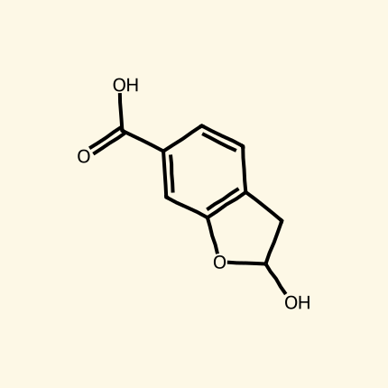 O=C(O)c1ccc2c(c1)OC(O)C2